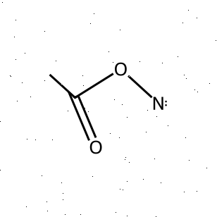 CC(=O)O[N]